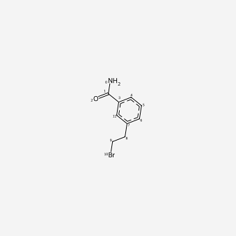 NC(=O)c1cccc(CCBr)c1